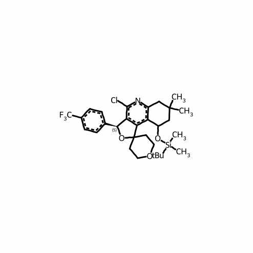 CC1(C)Cc2nc(Cl)c3c(c2C(O[Si](C)(C)C(C)(C)C)C1)C1(CCOCC1)O[C@H]3c1ccc(C(F)(F)F)cc1